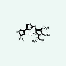 C[C@H]1C=C(c2csc(SC3=C(C(=O)O)N(C=O)[C@@H]([C@@H](C)O)[C@H]3C)n2)CN1